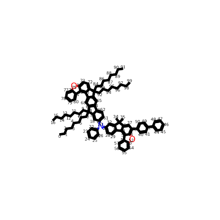 CCCCCCCCC1(CCCCCCCC)c2cc(N(c3ccccc3)c3ccc4c(c3)C(C)(C)c3cc(-c5ccc(-c6ccccc6)cc5)c5oc6ccccc6c5c3-4)ccc2-c2cc3c(cc21)-c1c(ccc2oc4ccccc4c12)C3(CCCCCCCC)CCCCCCCC